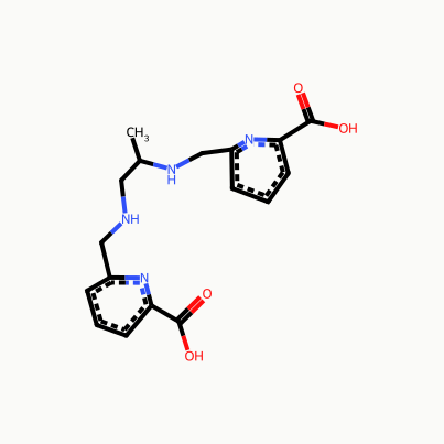 CC(CNCc1cccc(C(=O)O)n1)NCc1cccc(C(=O)O)n1